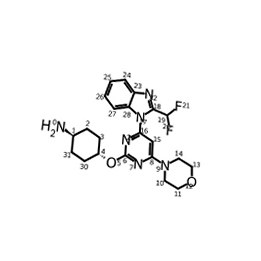 N[C@H]1CC[C@H](Oc2nc(N3CCOCC3)cc(-n3c(C(F)F)nc4ccccc43)n2)CC1